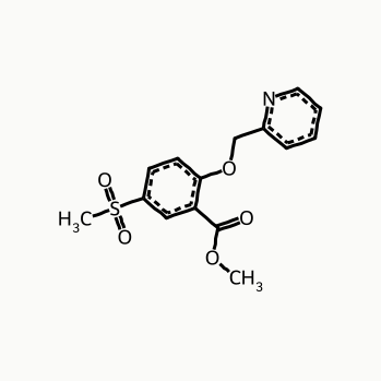 COC(=O)c1cc(S(C)(=O)=O)ccc1OCc1ccccn1